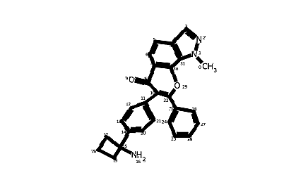 Cn1ncc2ccc3c(=O)c(-c4ccc(C5(N)CCC5)cc4)c(-c4ccccc4)oc3c21